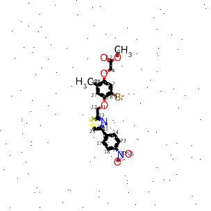 COC(=O)COc1cc(Br)c(OCc2nc(-c3ccc([N+](=O)[O-])cc3)cs2)cc1C